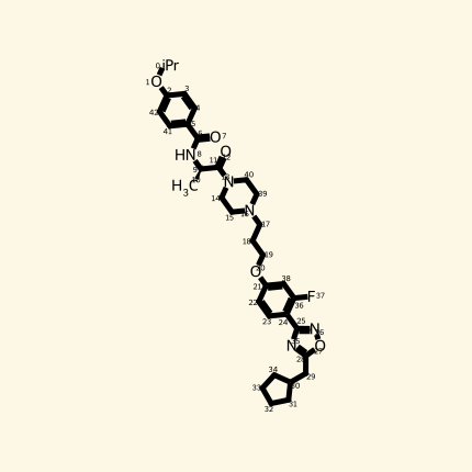 CC(C)Oc1ccc(C(=O)N[C@H](C)C(=O)N2CCN(CCCOc3ccc(-c4noc(CC5CCCC5)n4)c(F)c3)CC2)cc1